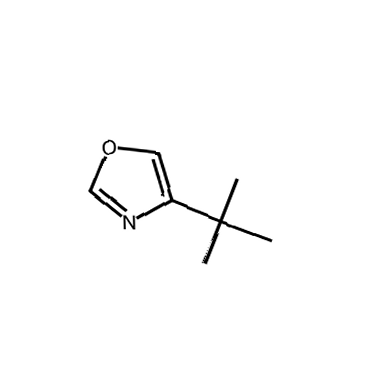 CC(C)(C)c1cocn1